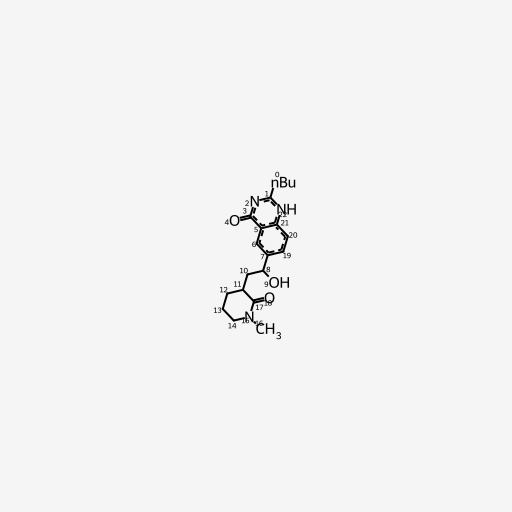 CCCCc1nc(=O)c2cc(C(O)CC3CCCN(C)C3=O)ccc2[nH]1